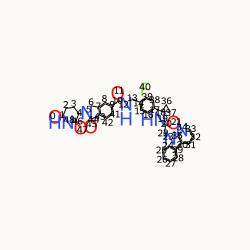 O=C1CCC(N2Cc3cc(C(=O)NCc4ccc(C5(NC(=O)Cn6c7ccccc7c7cccnc76)CC5)cc4F)ccc3C2=O)C(=O)N1